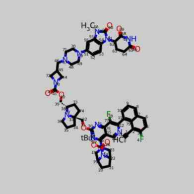 C#Cc1c(F)ccc2cccc(-c3ncc4c(N5CC6CCC(C5)N6C(=O)OC(C)(C)C)nc(OC[C@@]56CCCN5[C@H](COC(=O)N5CC(CN7CCN(c8ccc9c(c8)n(C)c(=O)n9C8CCC(=O)NC8=O)CC7)C5)CC6)nc4c3F)c12